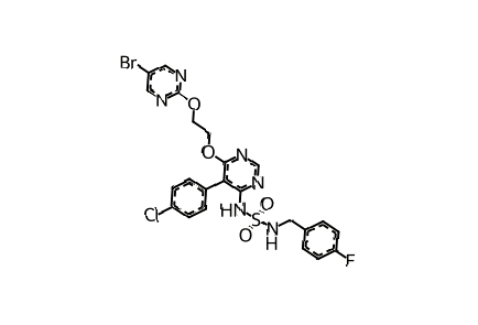 O=S(=O)(NCc1ccc(F)cc1)Nc1ncnc(OCCOc2ncc(Br)cn2)c1-c1ccc(Cl)cc1